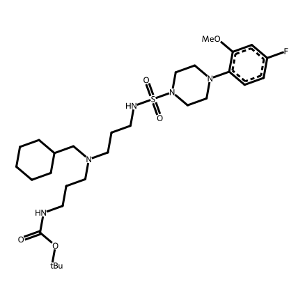 COc1cc(F)ccc1N1CCN(S(=O)(=O)NCCCN(CCCNC(=O)OC(C)(C)C)CC2CCCCC2)CC1